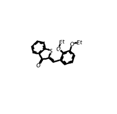 CCOc1cccc(/C=C2\Sc3ccccc3C2=O)c1OCC